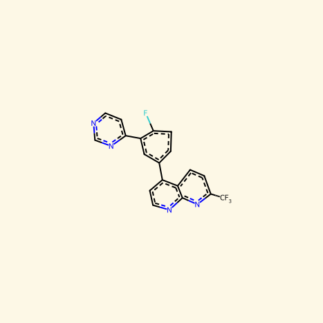 Fc1ccc(-c2ccnc3nc(C(F)(F)F)ccc23)cc1-c1ccncn1